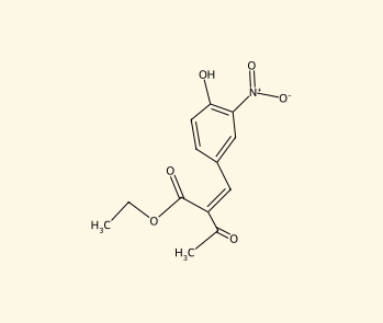 CCOC(=O)C(=Cc1ccc(O)c([N+](=O)[O-])c1)C(C)=O